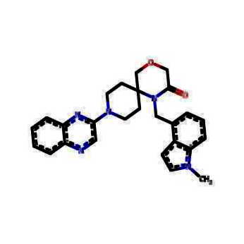 Cn1ccc2c(CN3C(=O)COCC34CCN(c3cnc5ccccc5n3)CC4)cccc21